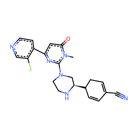 Cn1c(N2CCN[C@H](C3C=CC(C#N)=CC3)C2)nc(-c2ccncc2F)cc1=O